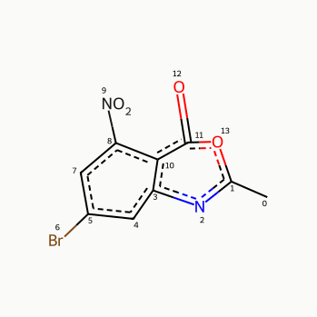 Cc1nc2cc(Br)cc([N+](=O)[O-])c2c(=O)o1